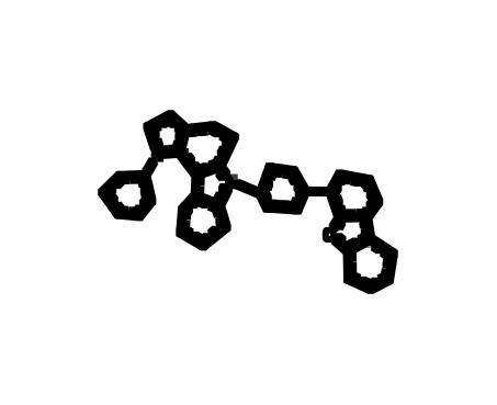 c1ccc(-n2ccc3ccc4c(c5ccccc5n4-c4ccc(-c5cccc6c5oc5ccccc56)cc4)c32)cc1